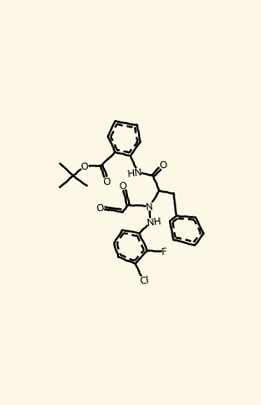 CC(C)(C)OC(=O)c1ccccc1NC(=O)C(Cc1ccccc1)N(Nc1cccc(Cl)c1F)C(=O)C=O